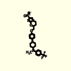 CN(c1ccc(C(F)(F)F)cc1)C1CCN(c2ccc(OCC3CCn4cc([N+](=O)[O-])nc4O3)cc2)CC1